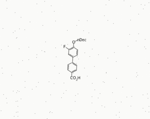 CCCCCCCCCCOc1ccc(-c2ccc(C(=O)O)cc2)cc1F